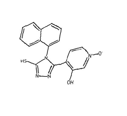 [O-][n+]1ccc(-c2nnc(S)n2-c2cccc3ccccc23)c(O)c1